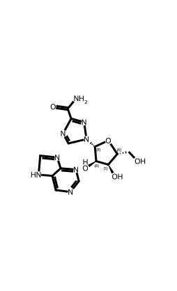 NC(=O)c1ncn([C@@H]2O[C@H](CO)[C@@H](O)[C@H]2O)n1.c1ncc2[nH]cnc2n1